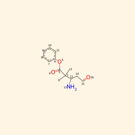 CC(C)(C(=O)Oc1ccccc1)C(N)CC=O